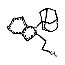 CCCc1cc2ccccc2n1C12CC3CC(CC(C3)C1)C2